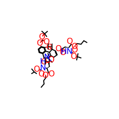 CCCCOC(=O)[C@H](CC(=O)OC1=CC[C@@]2(OC(=O)C[C@H](NC(=O)OC(C)(C)C)C(=O)OCCCC)[C@H]3Cc4ccc(OC(=O)OC(C)(C)C)c5c4[C@@]2(CCN3C)[C@H]1O5)NC(=O)OC(C)(C)C